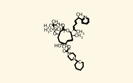 C/C(=C\C=C\[C@@H](C)c1ccccn1)[C@H]1OC(=O)C[C@H](O[Si](C)(C)C(C)(C)C)CC[C@@](C)(O)[C@@H](OC(=O)N2CCN(C3CCCCCC3)CC2)/C=C/[C@@H]1C